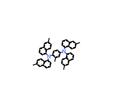 Cc1ccc2c(N(c3ccc(N(c4cccc5cc(C)ccc45)c4cccc5cc(C)ccc45)c(C)c3)c3cccc4cc(C)ccc34)cccc2c1